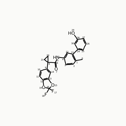 Cc1ccc(NC(=O)C2(c3ccc4c(c3)OC(F)(F)O4)CC2)cc1-c1cccc(O)c1